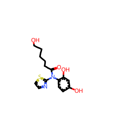 O=C(CCCCCO)N(c1nccs1)c1ccc(O)cc1O